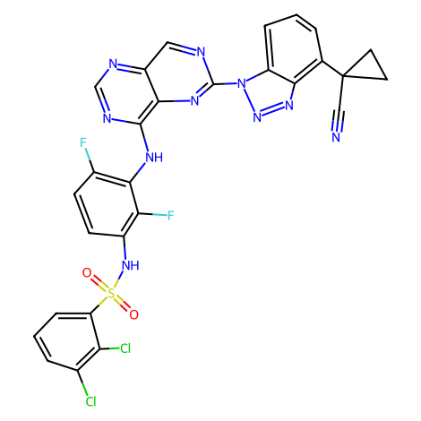 N#CC1(c2cccc3c2nnn3-c2ncc3ncnc(Nc4c(F)ccc(NS(=O)(=O)c5cccc(Cl)c5Cl)c4F)c3n2)CC1